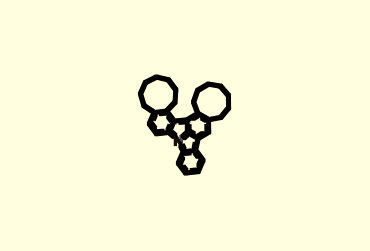 c1ccc2c(c1)c1cc3c(c4c5c6c(ccc5n2c14)CCCCCCC6)CCCCCCC3